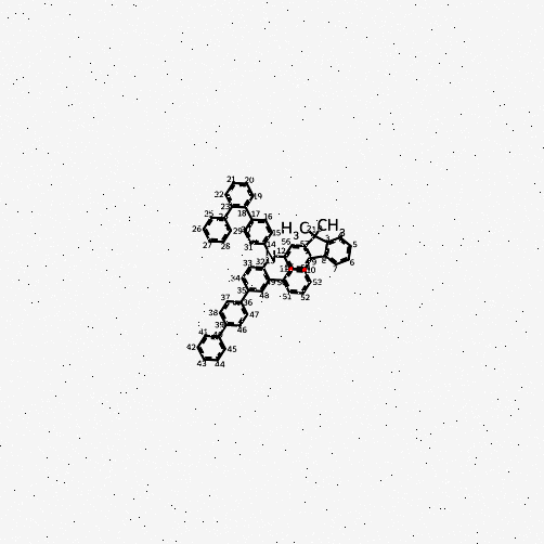 CC1(C)c2ccccc2-c2ccc(N(c3ccc(-c4ccccc4-c4ccccc4)cc3)c3ccc(-c4ccc(-c5ccccc5)cc4)cc3-c3ccccc3)cc21